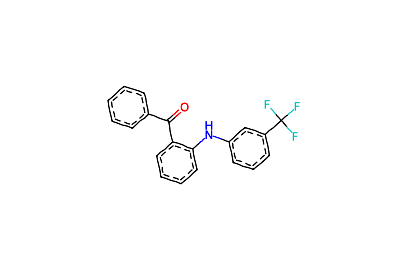 O=C(c1ccccc1)c1ccccc1Nc1cccc(C(F)(F)F)c1